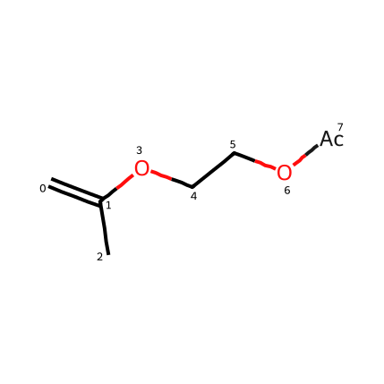 C=C(C)OCCOC(C)=O